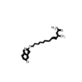 CC(C=CCCCCCCCOc1cc2cc(Cl)ccc2cn1)=CC(N)=O